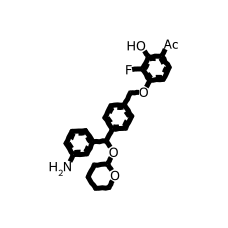 CC(=O)c1ccc(OCc2ccc(C(OC3CCCCO3)c3cccc(N)c3)cc2)c(F)c1O